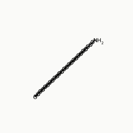 NCCOCCOCCOCCOCCOCCOCCOCCOCCOCCOCCOCCOCCOCCOCCOCCOCCOCCOCCOCCOCCOCCOCCOCCOCCC=O